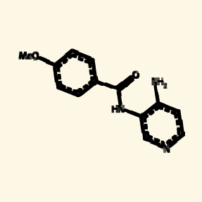 COc1ccc(C(=O)Nc2cnccc2N)cc1